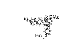 CCOc1ccc(-c2ccc(Cn3ccc4c(OC)ccc(C(=O)NC5CCC(C(=O)O)CC5)c43)cc2)cn1